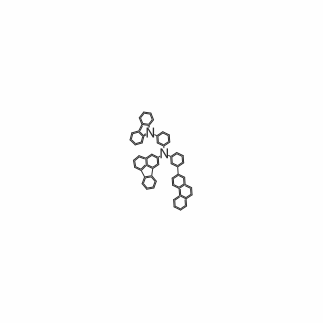 c1cc(-c2ccc3c(ccc4ccccc43)c2)cc(N(c2cccc(-n3c4ccccc4c4ccccc43)c2)c2cc3c4c(cccc4c2)-c2ccccc2-3)c1